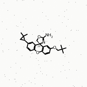 CC(C)(C)COc1ccc2c(c1)[C@]1(COC(N)=N1)c1cc(C3CC3(C)C)ccc1O2